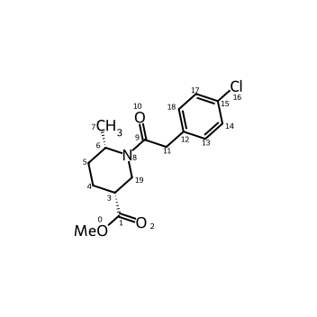 COC(=O)[C@@H]1CC[C@H](C)N(C(=O)Cc2ccc(Cl)cc2)C1